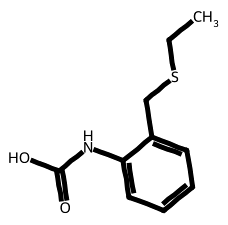 CCSCc1ccccc1NC(=O)O